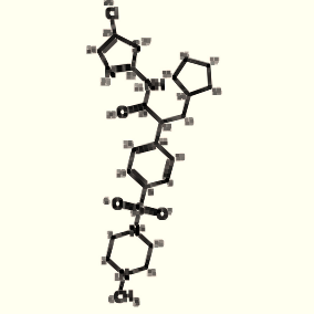 CN1CCN(S(=O)(=O)c2ccc(C(CC3CCCC3)C(=O)Nc3ncc(Cl)s3)cc2)CC1